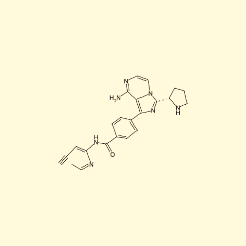 C#C/C=C(\N=C/C)NC(=O)c1ccc(-c2nc([C@@H]3CCCN3)n3ccnc(N)c23)cc1